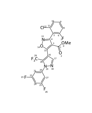 COC(=O)c1c(-c2c(F)cccc2Cl)noc1-c1cnn(-c2cc(F)cc(F)c2)c1C(F)(F)F